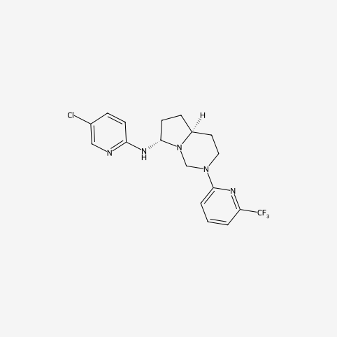 FC(F)(F)c1cccc(N2CC[C@@H]3CC[C@@H](Nc4ccc(Cl)cn4)N3C2)n1